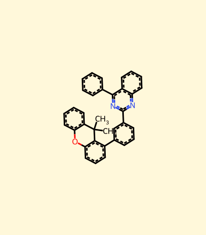 CC1(C)c2ccccc2Oc2cccc(-c3cccc(-c4nc(-c5ccccc5)c5ccccc5n4)c3)c21